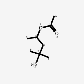 CC(=O)OC(C)CC(C)(C)S